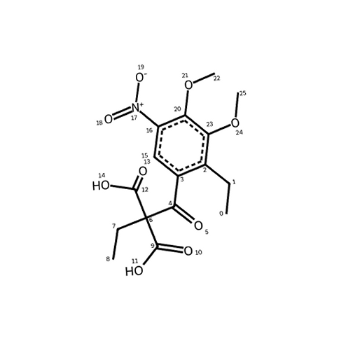 CCc1c(C(=O)C(CC)(C(=O)O)C(=O)O)cc([N+](=O)[O-])c(OC)c1OC